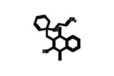 C=CCNC1(CC2=C(O)C(=O)c3ccccc3C2=O)C=CC=CC1